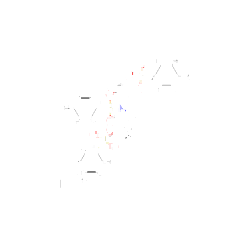 Cc1ccc(S(=O)(=O)OC(C)CN(CC(C)OS(=O)(=O)c2ccc(C)cc2)S(=O)(=O)c2ccc(C)cc2)cc1